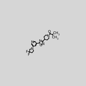 CC(C)C(=O)N1CCC(c2noc(-c3cncc(N4CCC(F)(F)C4)c3)n2)CC1